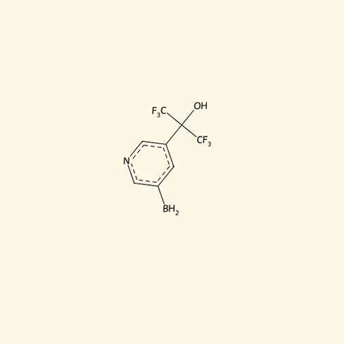 Bc1cncc(C(O)(C(F)(F)F)C(F)(F)F)c1